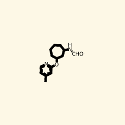 Cc1ccnc(OC2CCCCC(N[C]=O)C2)c1